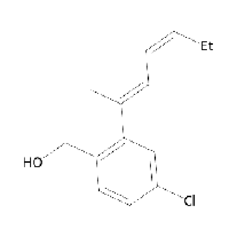 CC/C=C\C=C(/C)c1cc(Cl)ccc1CO